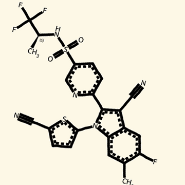 Cc1cc2c(cc1F)c(C#N)c(-c1ccc(S(=O)(=O)N[C@@H](C)C(F)(F)F)cn1)n2-c1ccc(C#N)s1